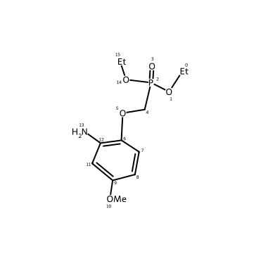 CCOP(=O)(COc1ccc(OC)cc1N)OCC